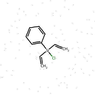 C=C[Si](Cl)(C=C)c1ccccc1